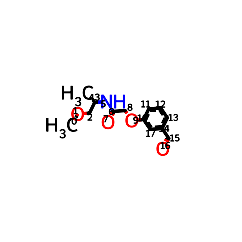 COCC(C)NC(=O)COc1cccc(C=O)c1